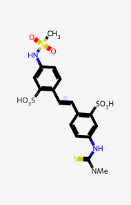 CNC(=S)Nc1ccc(/C=C/c2ccc(NS(C)(=O)=O)cc2S(=O)(=O)O)c(S(=O)(=O)O)c1